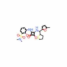 Cc1ccc(C(Nc2c(Nc3cccc(S(=O)(=O)N(C)C)c3O)c(=O)c2=O)C2CCCS2)o1